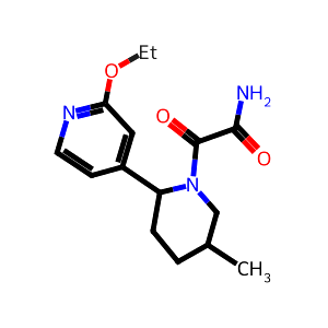 CCOc1cc(C2CCC(C)CN2C(=O)C(N)=O)ccn1